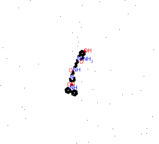 NCC(=O)N(CCCCCNC(=O)CCN1CCC(OC(=O)Nc2ccccc2-c2ccccc2)CC1)Cc1ccc(O)cc1